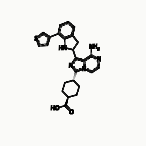 Nc1nccn2c1c(C1Cc3cccc(-c4ccsc4)c3N1)nc2[C@H]1CC[C@H](C(=O)O)CC1